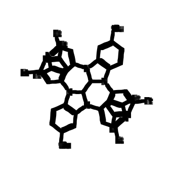 CCc1cc(N2c3ccc(C(C)(C)C)cc3N(c3cc(CC)nc(CC)c3)C2C2N(c3cc(CC)nc(CC)c3)c3ccc(C(C)(C)C)cc3N2c2cc(CC)nc(CC)c2)cc(CC)n1